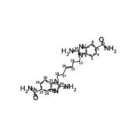 NC(=O)c1ccc2c(c1)nc(N)n2CC/C=C/CCn1c(N)nc2cc(C(N)=O)ccc21